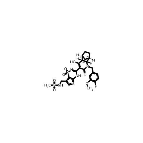 COc1cc(CN2C(=O)C(C3=NS(=O)(=O)c4c(CNS(C)(=O)=O)csc4N3)=C(O)[C@@H]3[C@H]4CC[C@H](C4)[C@@H]32)ccc1F